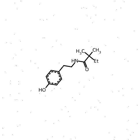 CCC(C)(C)C(=O)NCCc1ccc(O)cc1